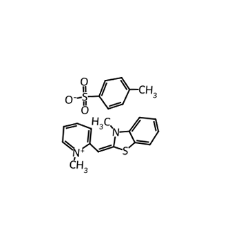 CN1C(=Cc2cccc[n+]2C)Sc2ccccc21.Cc1ccc(S(=O)(=O)[O-])cc1